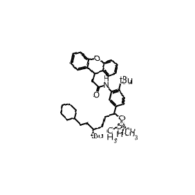 C[SiH](C)OC(CCC(CCC1CCCCC1)C(C)(C)C)c1ccc(C(C)(C)C)c(NC(=O)CC2c3ccccc3Oc3ccccc32)c1